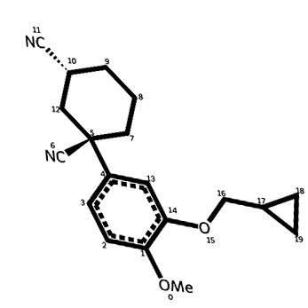 COc1ccc([C@@]2(C#N)CCC[C@@H](C#N)C2)cc1OCC1CC1